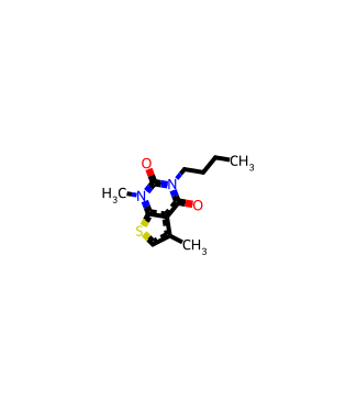 CCCCn1c(=O)c2c(C)csc2n(C)c1=O